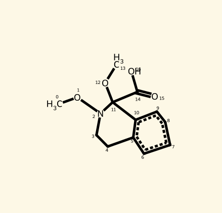 CON1CCc2ccccc2C1(OC)C(=O)O